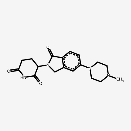 CN1CCN(c2ccc3c(c2)CN(C2CCC(=O)NC2=O)C3=O)CC1